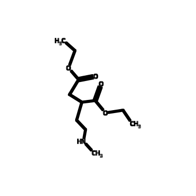 CCOC(=O)CC(CCNC)C(=O)OCC